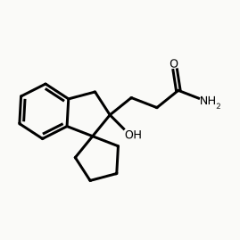 NC(=O)CCC1(O)Cc2ccccc2C12CCCC2